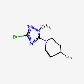 Cn1nc(Br)nc1N1CCC(C(F)(F)F)CC1